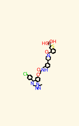 Cc1nnc2n1-c1ccc(OCC(=O)NCc3cccc(C4CCN(C(=O)c5cccc6sc(B(O)O)cc56)CC4)c3)cc1C(c1ccc(Cl)cc1)=NC2